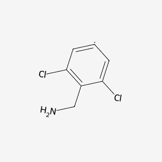 NCc1c(Cl)c[c]cc1Cl